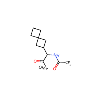 COC(=O)C(NC(=O)C(F)(F)F)C1CC2(CCC2)C1